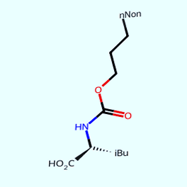 CCCCCCCCCCCCOC(=O)N[C@H](C(=O)O)[C@@H](C)CC